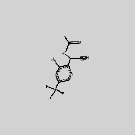 CC(=O)NC(C#N)c1ncc(C(F)(F)F)cc1Cl